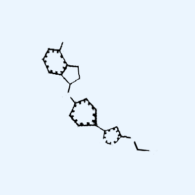 COCOc1cc(-c2ccc(OC3CCc4c(Cl)cccc43)cc2)on1